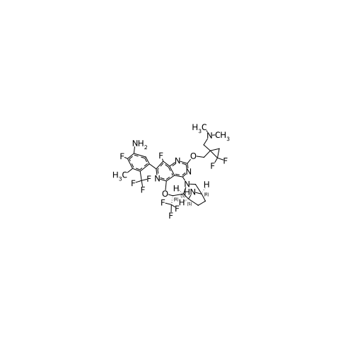 Cc1c(F)c(N)cc(-c2nc3c4c(nc(OCC5(CN(C)C)CC5(F)F)nc4c2F)N2C[C@H]4CC[C@H](N4)[C@H]2[C@H](C(F)(F)F)O3)c1C(F)(F)F